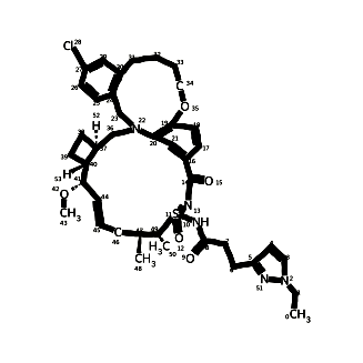 CCn1ccc(CCC(=O)NS2(=O)=NC(=O)c3ccc4c(c3)N(Cc3ccc(Cl)cc3CCCCO4)C[C@@H]3CC[C@H]3[C@@H](OC)/C=C/C[C@H](C)[C@H]2C)n1